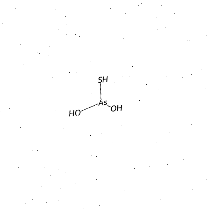 O[As](O)S